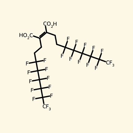 O=C(O)/C(CCC(F)(F)C(F)(F)C(F)(F)C(F)(F)C(F)(F)C(F)(F)F)=C(/CCC(F)(F)C(F)(F)C(F)(F)C(F)(F)C(F)(F)C(F)(F)F)C(=O)O